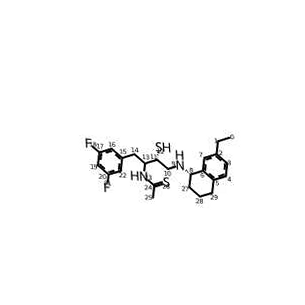 CCc1ccc2c(c1)[C@@H](NC[C@@H](S)C(Cc1cc(F)cc(F)c1)NC(C)=S)CCC2